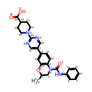 CC1CN(C(=O)Nc2ccccc2)c2ccc(-c3cnc(N4CCC(C(=O)O)CC4)nc3)cc2O1